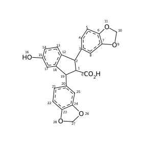 O=C(O)C1C(c2ccc3c(c2)OCO3)c2ccc(O)cc2C1c1ccc2c(c1)OCO2